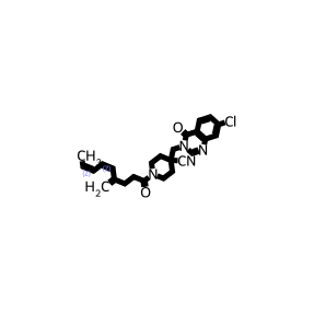 C=C(/C=C\C=C/C)CCC(=O)N1CCC(C#N)(Cn2cnc3cc(Cl)ccc3c2=O)CC1